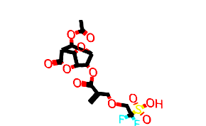 C=C(COCC(F)(F)S(=O)(=O)O)C(=O)OC1C2OC3C1OC(=O)C3C2OC(C)=O